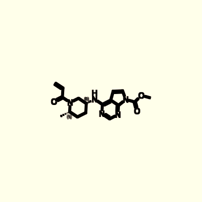 C=CC(=O)N1C[C@H](Nc2ncnc3c2ccn3C(=O)OC)CC[C@@H]1C